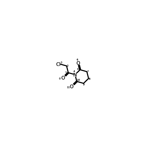 O=C(CCl)N1C(=O)CCCC1=O